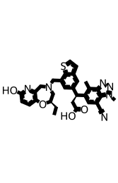 CC[C@@H]1CN(Cc2cc([C@H](CC(=O)O)c3cc(C#N)c4c(nnn4C)c3C)cc3ccsc23)Cc2nc(O)ccc2O1